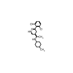 C/C(NC1CCC(C)CC1)=C(/C=N)CC(=O)c1c(Cl)cccc1Cl